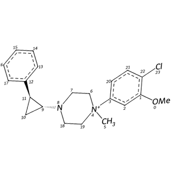 COc1cc([N+]2(C)CCN([C@@H]3C[C@H]3c3ccccc3)CC2)ccc1Cl